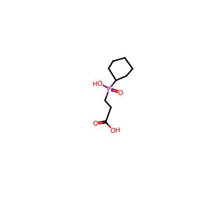 O=C(O)CCP(=O)(O)C1CCCCC1